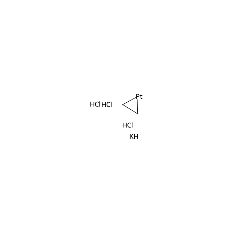 Cl.Cl.Cl.[CH2]1[CH2][Pt]1.[KH]